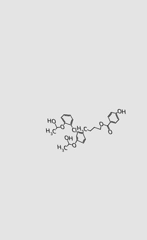 CC(O)Oc1ccccc1.CC(O)Oc1ccccc1Cl.CCCCOC(=O)c1ccc(O)cc1